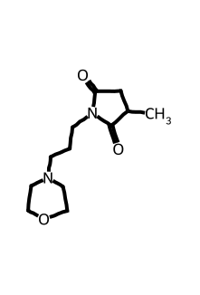 CC1CC(=O)N(CCCN2CCOCC2)C1=O